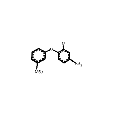 CC(C)COc1cccc(Oc2ccc(N)cc2Cl)c1